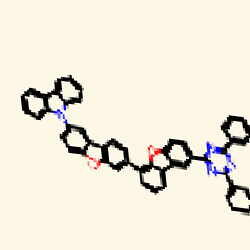 c1ccc(-c2nc(-c3ccccc3)nc(-c3ccc4oc5c(-c6ccc7c(c6)oc6ccc(-n8c9ccccc9c9ccccc98)cc67)cccc5c4c3)n2)cc1